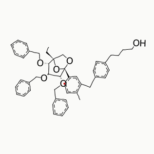 CC[C@@]12CO[C@@](c3ccc(C)c(Cc4ccc(CCCCO)cc4)c3)(O1)[C@H](OCc1ccccc1)[C@@H](OCc1ccccc1)[C@@H]2OCc1ccccc1